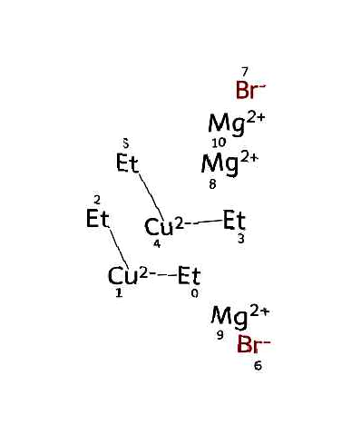 C[CH2][Cu-2][CH2]C.C[CH2][Cu-2][CH2]C.[Br-].[Br-].[Mg+2].[Mg+2].[Mg+2]